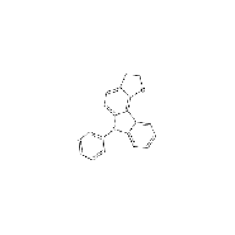 c1ccc(-n2c3ccccc3c3c4c(ccc32)CCO4)cc1